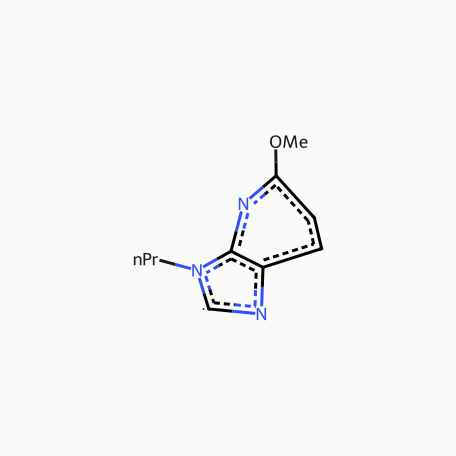 CCCn1[c]nc2ccc(OC)nc21